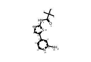 CC(C)(C)C(=O)Nc1ncc(-c2ccnc(N)c2)s1